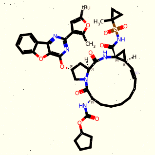 Cc1oc(C(C)(C)C)cc1-c1nc(O[C@@H]2C[C@H]3C(=O)N[C@]4(C(=O)NS(=O)(=O)C5(C)CC5)C[C@H]4/C=C\CCCCC[C@H](NC(=O)OC4CCCC4)C(=O)N3C2)c2oc3ccccc3c2n1